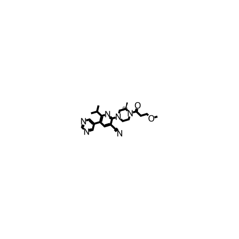 COCCC(=O)N1CCN(c2nc(C(C)C)c(-c3cncnc3)cc2C#N)C[C@H]1C